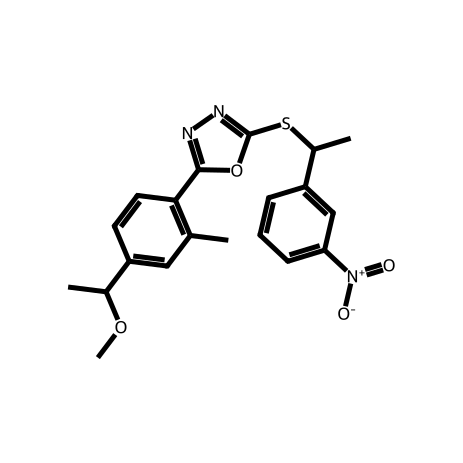 COC(C)c1ccc(-c2nnc(SC(C)c3cccc([N+](=O)[O-])c3)o2)c(C)c1